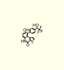 O=c1[nH]c2ccc(O)c(-c3ccc(C(O)C(F)(F)F)cc3)c2c2ccsc12